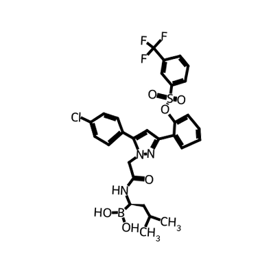 CC(C)C[C@H](NC(=O)Cn1nc(-c2ccccc2OS(=O)(=O)c2cccc(C(F)(F)F)c2)cc1-c1ccc(Cl)cc1)B(O)O